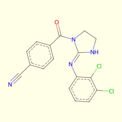 N#Cc1ccc(C(=O)N2CCNC2=Nc2cccc(Cl)c2Cl)cc1